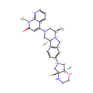 C[C@@H]1CN(c2cc(=O)n(C)c3ncccc23)C[C@@H]2c3ccc(N4C[C@H]5NCCO[C@@H]5C4)cc3CN12